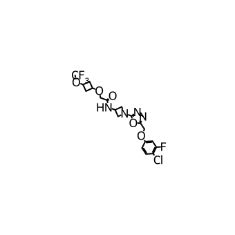 O=C(COC1CC(OC(F)(F)F)C1)NC1CN(c2nnc(COc3ccc(Cl)c(F)c3)o2)C1